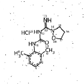 Cc1cccc(C)c1NC(=O)NC(=N)N1CCCO1.Cl